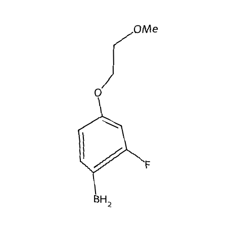 Bc1ccc(OCCOC)cc1F